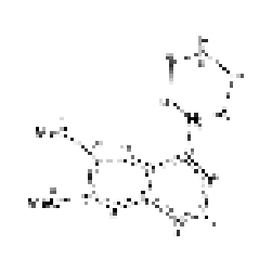 COc1cc2nncc(N3CCNCC3)c2cc1OC